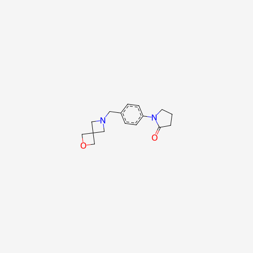 O=C1CCCN1c1ccc(CN2CC3(COC3)C2)cc1